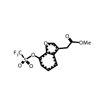 COC(=O)Cc1coc2c(OS(=O)(=O)C(F)(F)F)cccc12